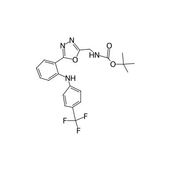 CC(C)(C)OC(=O)NCc1nnc(-c2ccccc2Nc2ccc(C(F)(F)F)cc2)o1